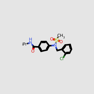 CC(C)NC(=O)c1ccc(N(Cc2ccccc2Cl)S(C)(=O)=O)cc1